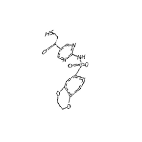 O=C(CS)c1cnc(NS(=O)(=O)c2ccc3c(c2)OCCO3)nc1